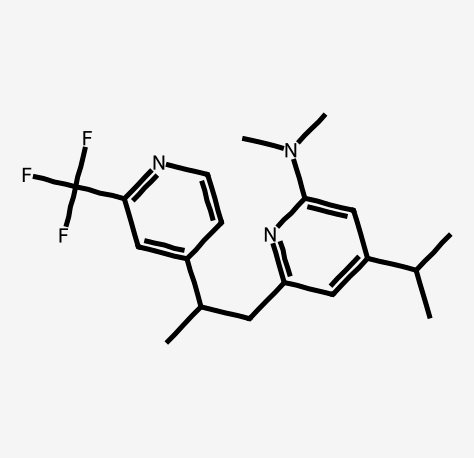 CC(C)c1cc(CC(C)c2ccnc(C(F)(F)F)c2)nc(N(C)C)c1